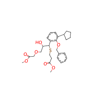 COC(=O)CCSC(c1cccc(C2CCCC2)c1OCc1ccccc1)C(O)COCC(=O)OC